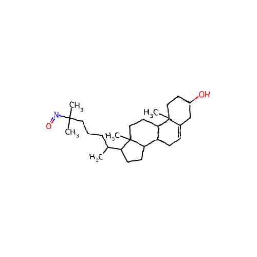 CC(CCCC(C)(C)N=O)C1CCC2C3CC=C4CC(O)CCC4(C)C3CCC12C